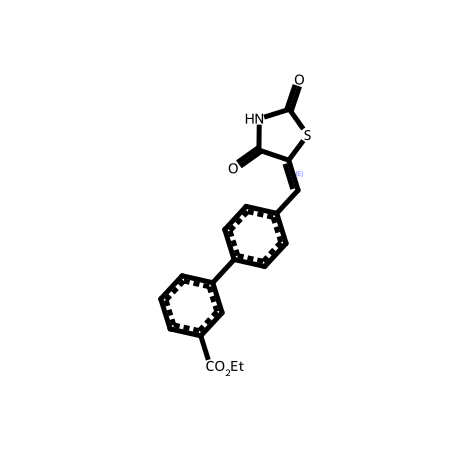 CCOC(=O)c1cccc(-c2ccc(/C=C3/SC(=O)NC3=O)cc2)c1